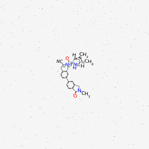 C[C@@H]1[C@H](C)[C@@H]2C[C@@H]1[C@@H](C(=O)N[C@H](C#N)Cc1ccc(-c3ccc4c(c3)CN(C)C4=O)cc1F)N2